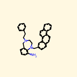 Nc1cccc2c1N(Cc1ccc3ccc4c5ccccc5ccc4c3c1)CCN(CCc1ccccc1)C2